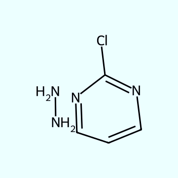 Clc1ncccn1.NN